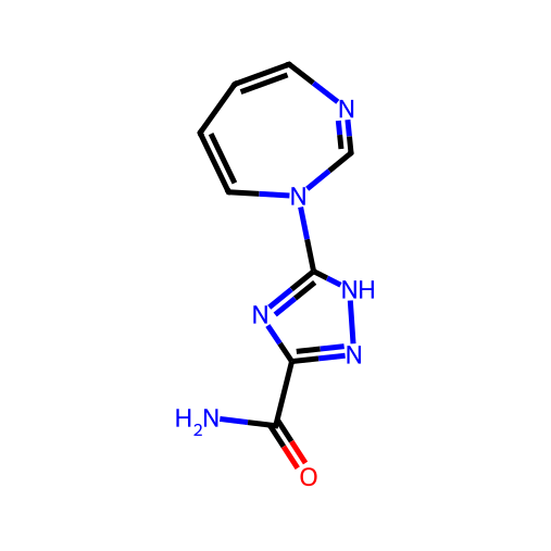 NC(=O)c1n[nH]c(N2C=CC=CN=C2)n1